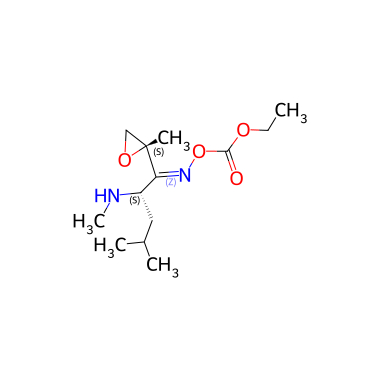 CCOC(=O)O/N=C(/[C@H](CC(C)C)NC)[C@@]1(C)CO1